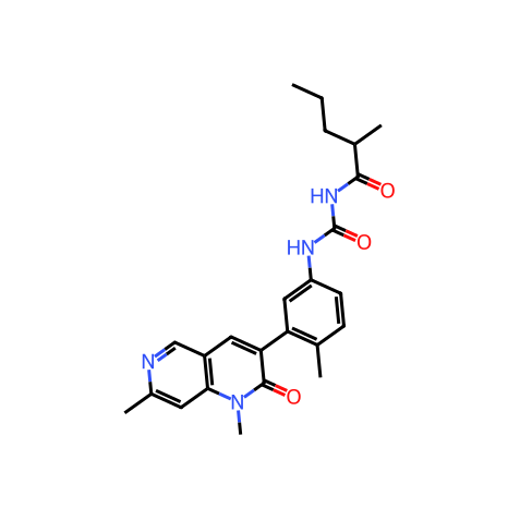 CCCC(C)C(=O)NC(=O)Nc1ccc(C)c(-c2cc3cnc(C)cc3n(C)c2=O)c1